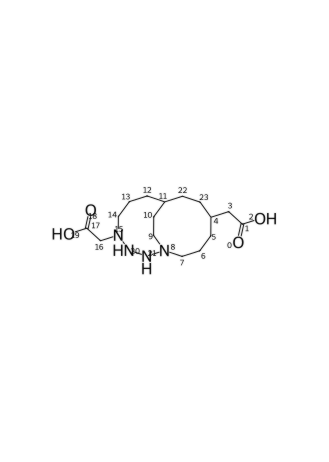 O=C(O)CC1CCCN2CCC(CCCN(CC(=O)O)NN2)CC1